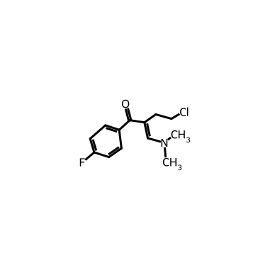 CN(C)C=C(CCCl)C(=O)c1ccc(F)cc1